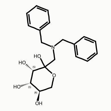 O[C@H]1[C@H](O)COC(O)(CN(Cc2ccccc2)Cc2ccccc2)[C@H]1O